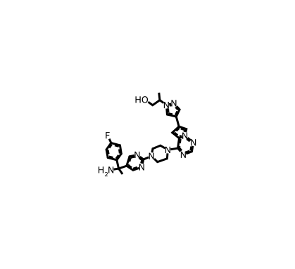 CC(CO)n1cc(-c2cc3c(N4CCN(c5ncc(C(C)(N)c6ccc(F)cc6)cn5)CC4)ncnn3c2)cn1